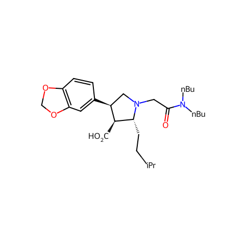 CCCCN(CCCC)C(=O)CN1C[C@H](c2ccc3c(c2)OCO3)[C@H](C(=O)O)[C@H]1CCC(C)C